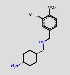 COc1ccc(CNC[C@H]2CC[C@@H](N)CC2)cc1OC